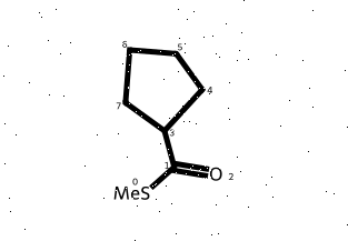 [CH2]SC(=O)C1CCCC1